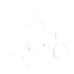 CCCCCCCCC(O)C(=O)OC(=O)c1cccc(CC)c1C(=O)OC(=O)C(O)CCCCCCCC